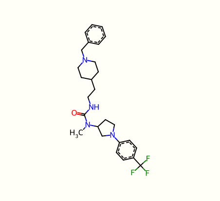 CN(C(=O)NCCC1CCN(Cc2ccccc2)CC1)C1CCN(c2ccc(C(F)(F)F)cc2)C1